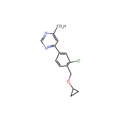 O=C(O)c1cc(-c2ccc(COC3CC3)c(Cl)c2)ncn1